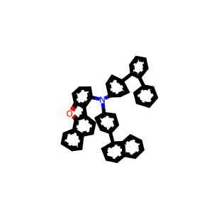 c1ccc(-c2ccccc2-c2ccc(N(c3ccc(-c4cccc5ccccc45)cc3)c3cccc4oc5c6ccccc6ccc5c34)cc2)cc1